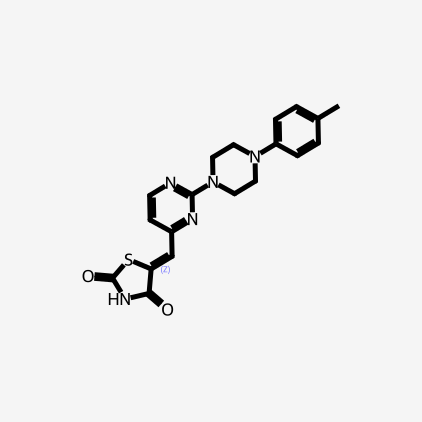 Cc1ccc(N2CCN(c3nccc(/C=C4\SC(=O)NC4=O)n3)CC2)cc1